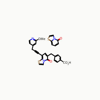 COc1cc(CC#Cc2cc(Cc3ccc(C(=O)O)cc3)c(=O)n3ccsc23)ccn1.O=c1cccc2sccn12